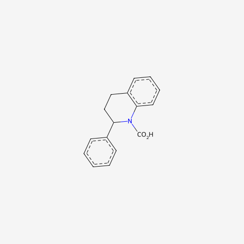 O=C(O)N1c2ccccc2CCC1c1ccccc1